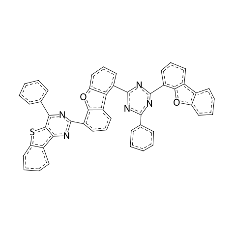 c1ccc(-c2nc(-c3cccc4c3oc3ccccc34)nc(-c3cccc4oc5c(-c6nc(-c7ccccc7)c7sc8ccccc8c7n6)cccc5c34)n2)cc1